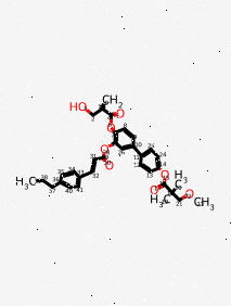 C=C(CO)C(=O)Oc1ccc(-c2ccc(OC(=O)C(C)(C)COC)cc2)cc1OC(=O)/C=C/c1ccc(CCC)cc1